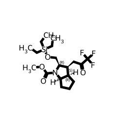 CC[Si](CC)(CC)OC[C@H]1[C@@H](CC(=O)C(F)(F)F)[C@H]2CCC[C@H]2N1C(=O)OC